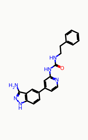 Nc1n[nH]c2ccc(-c3ccnc(NC(=O)NCCc4ccccc4)c3)cc12